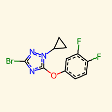 Fc1ccc(Oc2nc(Br)nn2C2CC2)cc1F